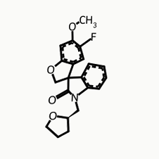 COc1cc2c(cc1F)C1(CO2)C(=O)N(C[C@H]2CCCO2)c2ccccc21